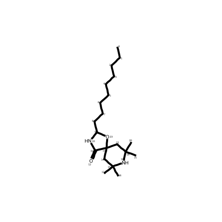 CCCCCCCCCC1NC(=O)C2(CC(C)(C)NC(C)(C)C2)O1